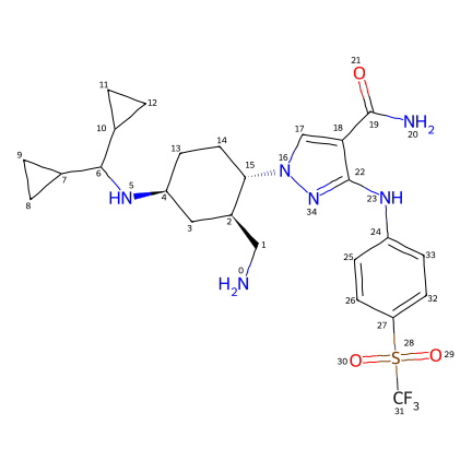 NC[C@H]1C[C@@H](NC(C2CC2)C2CC2)CC[C@@H]1n1cc(C(N)=O)c(Nc2ccc(S(=O)(=O)C(F)(F)F)cc2)n1